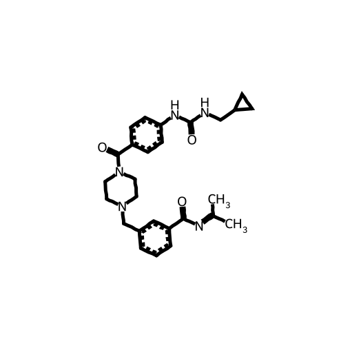 CC(C)=NC(=O)c1cccc(CN2CCN(C(=O)c3ccc(NC(=O)NCC4CC4)cc3)CC2)c1